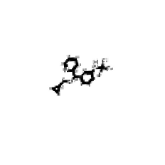 FC(F)(F)Nc1cccc(C(OCC2CC2)c2ccccn2)c1